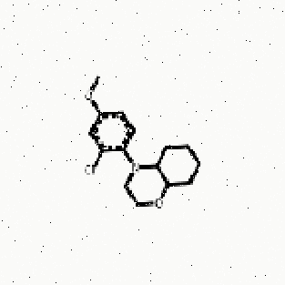 COc1ccc(N2CCOC3CCCCC32)c(Cl)c1